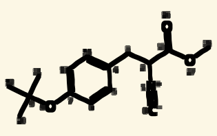 [C-]#[N+]C(Cc1ccc(OC(C)(C)C)cc1)C(=O)OC